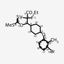 CCOC(=O)C(F)(F)C(OC(=S)SC)C1CCC(Oc2cccc(Br)c2C)CC1